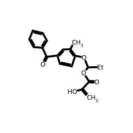 C=C(O)C(=O)OC(CC)Oc1ccc(C(=O)c2ccccc2)cc1C